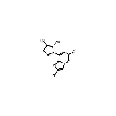 O[C@@H]1COC(c2cc(Cl)cn3cc(Cl)nc23)[C@H]1O